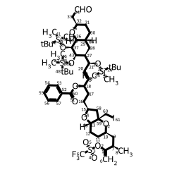 C=C(OS(=O)(=O)C(F)(F)F)[C@H](C)C[C@H]1CC[C@@H]2O[C@@H](CCC(/C=C/[C@H](O[Si](C)(C)C(C)(C)C)[C@@H]3C[C@H]4CC[C@H](CC=O)O[C@@H]4[C@H](O[Si](C)(C)C(C)(C)C)[C@@H]3O[Si](C)(C)C(C)(C)C)OC(=O)c3ccccc3)C[C@]2(CI)O1